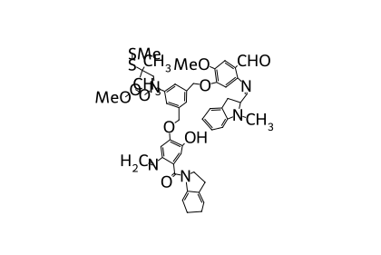 C=Nc1cc(OCc2cc(COc3cc(/N=C\C4Cc5ccccc5N4C)c(C=O)cc3OC)cc(N(CC(C)(C)SSC)OOOC)c2)c(O)cc1C(=O)N1CCC2=CCCC=C21